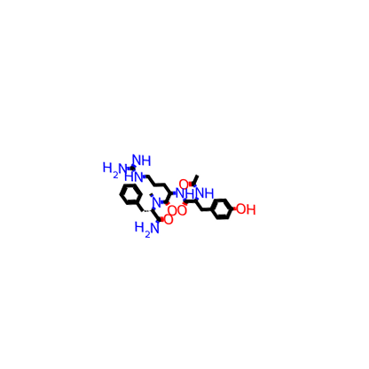 CC(=O)NC(Cc1ccc(O)cc1)C(=O)NC(CCCNC(=N)N)C(=O)N(C)[C@@H](Cc1ccccc1)C(N)=O